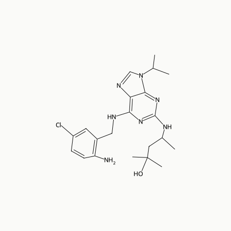 CC(CC(C)(C)O)Nc1nc(NCc2cc(Cl)ccc2N)c2ncn(C(C)C)c2n1